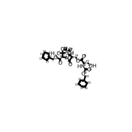 CC1(C)[C@H](C(=O)OCc2ccccc2)N2C(=O)[C@@H](COC(=O)[C@H](CO)NC(=O)OCc3ccccc3)[C@H]2S1(=O)=O